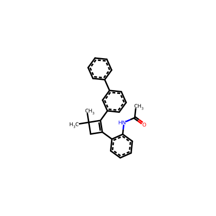 CC(=O)Nc1ccccc1C1=C(c2cccc(-c3ccccc3)c2)C(C)(C)C1